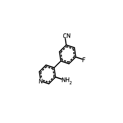 N#Cc1cc(F)cc(-c2ccncc2N)c1